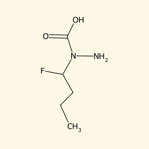 CCCC(F)N(N)C(=O)O